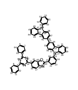 c1ccc(-c2nc(-c3ccccc3)nc(-c3ccc4nc(-c5cccc(-n6c7ccccc7c7cc(-c8ccc9c(c8)c8ccccc8n9-c8ccccc8)ccc76)c5)oc4c3)n2)cc1